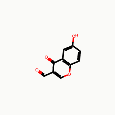 O=Cc1coc2ccc(O)cc2c1=O